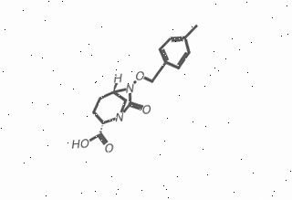 Cc1ccc(CON2C(=O)N3C[C@@H]2CC[C@H]3C(=O)O)cc1